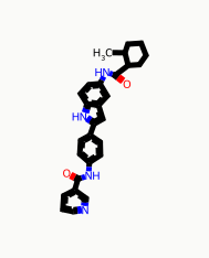 CC1CCCCC1C(=O)Nc1ccc2[nH]c(-c3ccc(NC(=O)c4cccnc4)cc3)cc2c1